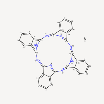 [U].c1ccc2c(c1)-c1nc-2nc2[nH]c(nc3nc(nc4[nH]c(n1)c1ccccc41)-c1ccccc1-3)c1ccccc21